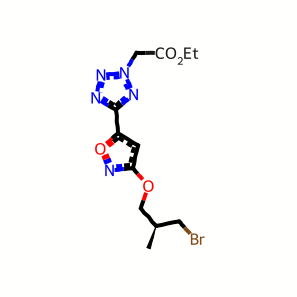 CCOC(=O)Cn1nnc(-c2cc(OC[C@H](C)CBr)no2)n1